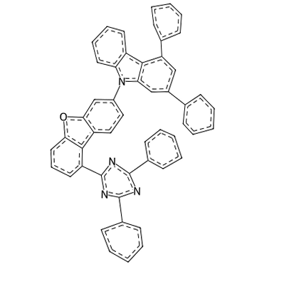 c1ccc(-c2cc(-c3ccccc3)c3c4ccccc4n(-c4ccc5c(c4)oc4cccc(-c6nc(-c7ccccc7)nc(-c7ccccc7)n6)c45)c3c2)cc1